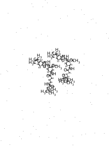 COc1cc(NC(=O)CCCN(C(=O)O)C(C)(C)C)ccc1Nc1nc2cc(C(C)(C)C)ccc2o1.COc1cc(NC(=O)CCCNC(=O)OC(C)(C)C)ccc1Nc1nc2cc(C(C)(C)C)ccc2o1